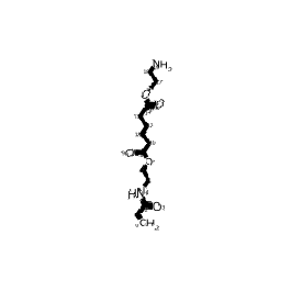 C=CC(=O)NCCOC(=O)CCCCC(=O)OCCN